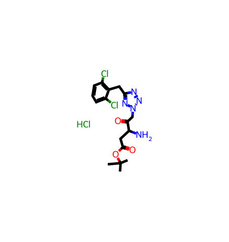 CC(C)(C)OC(=O)CC(N)C(=O)Cn1nnc(Cc2c(Cl)cccc2Cl)n1.Cl